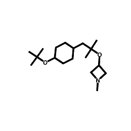 CN1CC(OC(C)(C)CC2CCC(OC(C)(C)C)CC2)C1